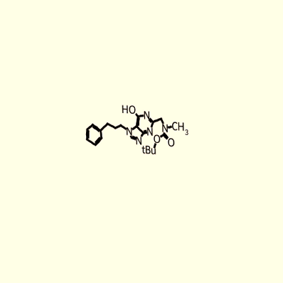 CN(Cc1nc(O)c2c(ncn2CCCc2ccccc2)n1)C(=O)OC(C)(C)C